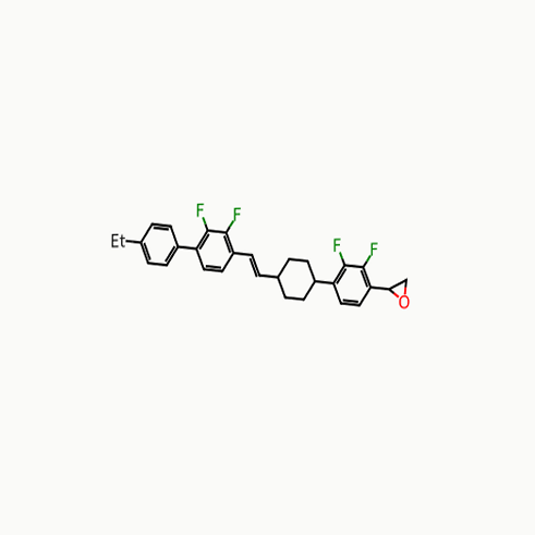 CCc1ccc(-c2ccc(/C=C/C3CCC(c4ccc(C5CO5)c(F)c4F)CC3)c(F)c2F)cc1